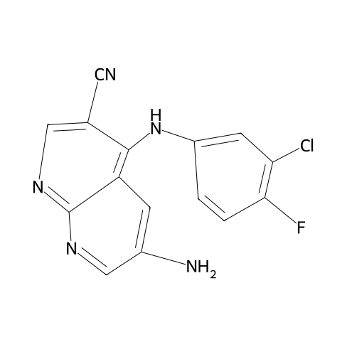 N#Cc1cnc2ncc(N)cc2c1Nc1ccc(F)c(Cl)c1